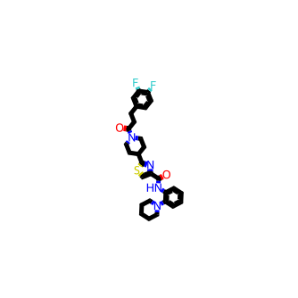 O=C(Nc1ccccc1N1CCCCC1)c1csc(C2CCN(C(=O)CCc3ccc(F)c(F)c3)CC2)n1